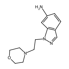 Nc1ccc2cnn(CCN3CCOCC3)c2c1